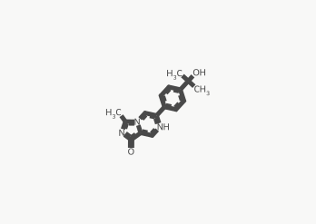 Cc1nc(=O)c2c[nH]c(-c3ccc(C(C)(C)O)cc3)cn1-2